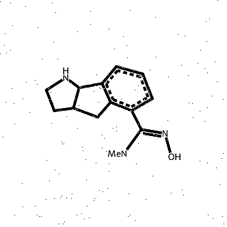 CN/C(=N\O)c1cccc2c1CC1CCNC21